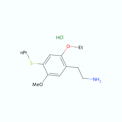 CCCSc1cc(OCC)c(CCN)cc1OC.Cl